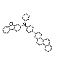 c1ccc(N(c2ccc(-c3ccc4c(ccc5c6ccccc6ccc45)c3)cc2)c2ccc3c(c2)oc2ccccc23)cc1